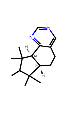 CC1C(C)(C)[C@@H]2CCc3cncnc3[C@@H]2C1(C)C